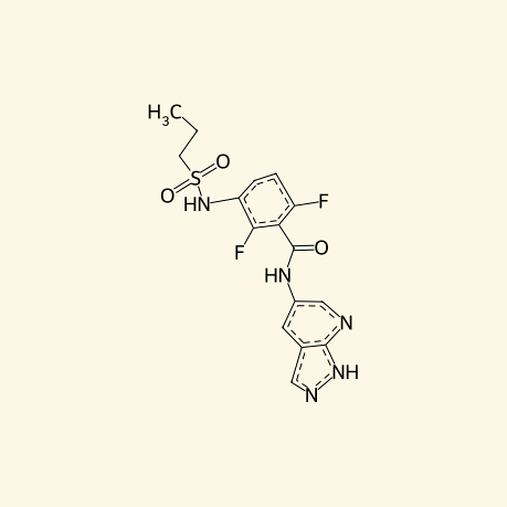 CCCS(=O)(=O)Nc1ccc(F)c(C(=O)Nc2cnc3[nH]ncc3c2)c1F